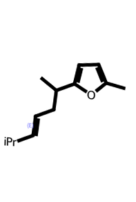 Cc1ccc(C(C)C/C=C/C(C)C)o1